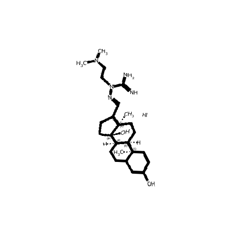 CN(C)CCN(N=CC1CC[C@@]2(O)[C@@H]3CCC4CC(O)CC[C@]4(C)[C@@H]3CC[C@]12C)C(=N)N.I